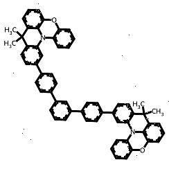 CC1(C)c2ccc(-c3ccc(-c4cccc(-c5ccc(-c6ccc7c(c6)N6c8ccccc8Oc8cccc(c86)C7(C)C)cc5)c4)cc3)cc2N2c3ccccc3Oc3cccc1c32